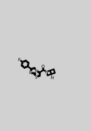 O=C(c1csc2nc(-c3ccc(F)cc3)cn12)N1C[C@@H]2CCC21